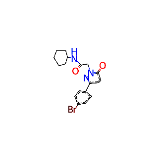 O=C(Cn1nc(-c2ccc(Br)cc2)ccc1=O)NC1CCCCC1